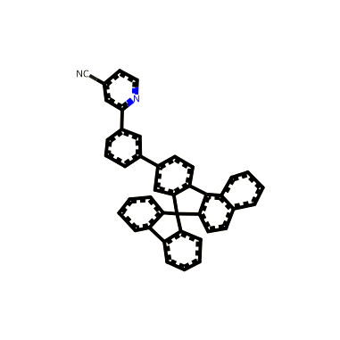 N#Cc1ccnc(-c2cccc(-c3ccc4c(c3)C3(c5ccccc5-c5ccccc53)c3ccc5ccccc5c3-4)c2)c1